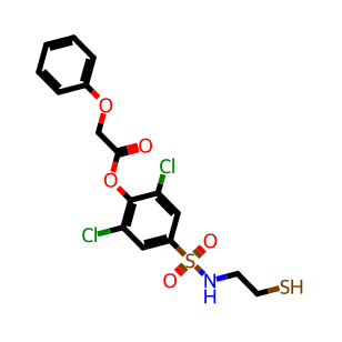 O=C(COc1ccccc1)Oc1c(Cl)cc(S(=O)(=O)NCCS)cc1Cl